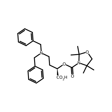 CC1(C)COC(C)(C)N1C(=O)O[C@H](CCN(Cc1ccccc1)Cc1ccccc1)C(=O)O